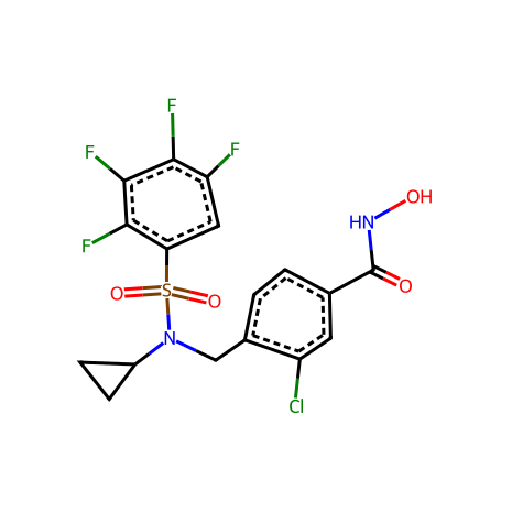 O=C(NO)c1ccc(CN(C2CC2)S(=O)(=O)c2cc(F)c(F)c(F)c2F)c(Cl)c1